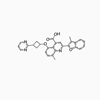 Cc1c(-c2cc(C(=O)O)c3c(OC4CC(c5ncccn5)C4)ccc(C)c3n2)oc2ccccc12